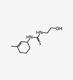 CC1=CC(NC(=S)NCCO)CCC1